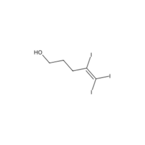 OCCCC(I)=C(I)I